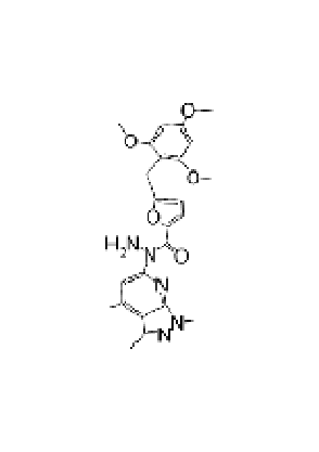 COc1cc(OC)c(Cc2ccc(C(=O)N(N)c3cc(C)c4c(C)nn(C)c4n3)o2)c(OC)c1